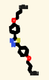 CCCCC=CCOc1ccc(-c2nnc(-c3ccc(OCC=CCCCC)cc3)s2)cc1